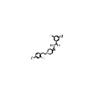 O=C(NC1CC12CCN(CCc1ccc(Cl)cc1Cl)CC2)c1cc(Cl)cc(Cl)c1